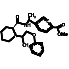 COC(=O)c1ccc([C@H](C)NC(=O)[C@H]2CCCCN2C(C)COc2ccccc2)cc1